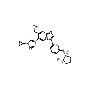 OCc1cc2ncc(-c3cccc(N[C@H]4CCC[C@@H]4F)n3)n2cc1-c1cnn(C2CC2)c1